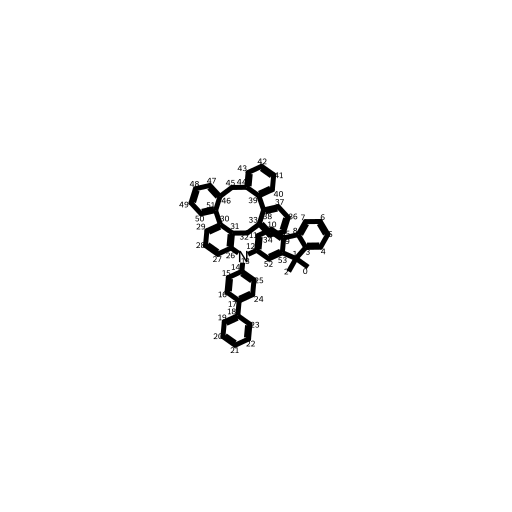 CC1(C)c2ccccc2-c2ccc(N(c3ccc(-c4ccccc4)cc3)c3cccc4c3Cc3ccccc3-c3ccccc3Cc3ccccc3-4)cc21